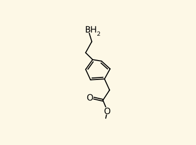 BCCc1ccc(CC(=O)OC)cc1